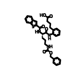 O=C(O)CCCc1ccccc1NC(=O)[C@H](CCCNC(=O)OCc1ccccc1)NC(=O)c1cc2ccccc2s1